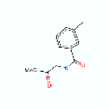 COC(=O)CN(C)C(=O)c1cccc(C)c1